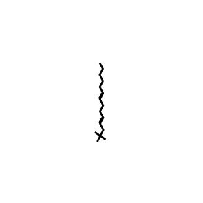 CCCCCC=CCCC=CCC(C)(C)C